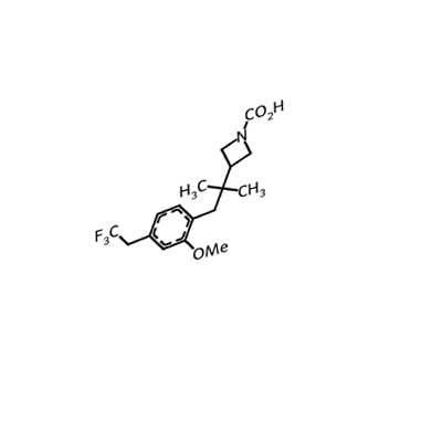 COc1cc(CC(F)(F)F)ccc1CC(C)(C)C1CN(C(=O)O)C1